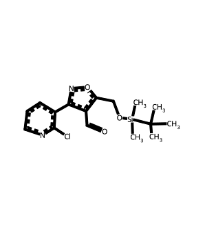 CC(C)(C)[Si](C)(C)OCc1onc(-c2cccnc2Cl)c1C=O